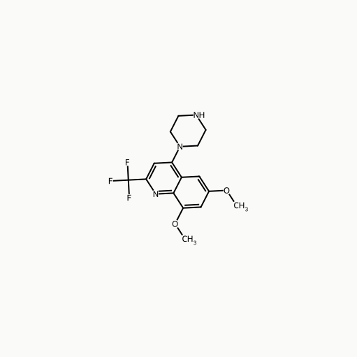 COc1cc(OC)c2nc(C(F)(F)F)cc(N3CCNCC3)c2c1